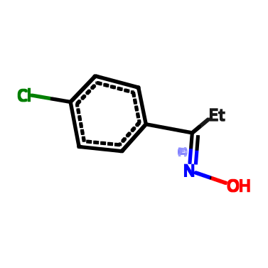 CC/C(=N\O)c1ccc(Cl)cc1